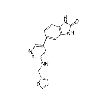 O=c1[nH]c2ccc(-c3cncc(NCc4ccco4)c3)cc2[nH]1